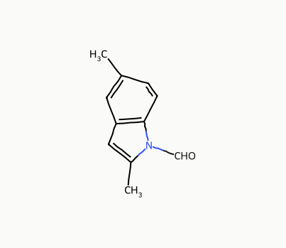 Cc1ccc2c(c1)cc(C)n2C=O